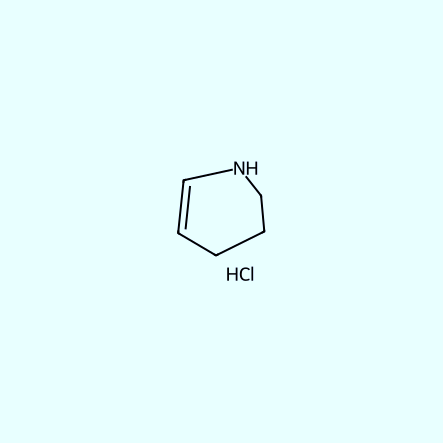 C1=CNCCC1.Cl